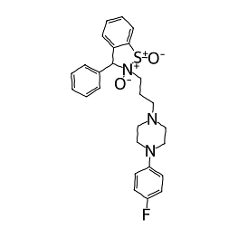 [O-][S+]1c2ccccc2C(c2ccccc2)[N+]1([O-])CCCN1CCN(c2ccc(F)cc2)CC1